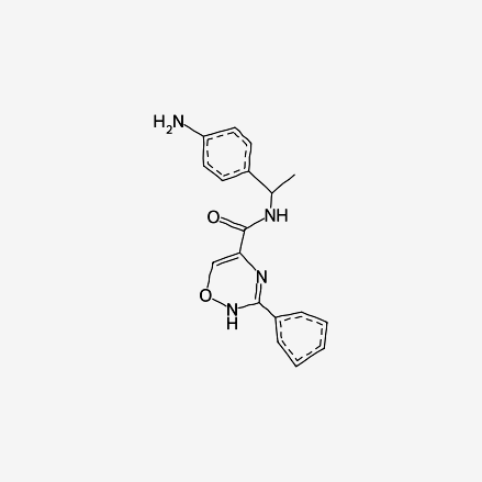 CC(NC(=O)C1=CONC(c2ccccc2)=N1)c1ccc(N)cc1